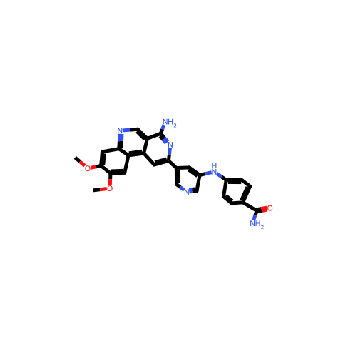 COc1cc2ncc3c(N)nc(-c4cncc(Nc5ccc(C(N)=O)cc5)c4)cc3c2cc1OC